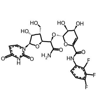 NC(=O)[C@H](O[C@H]1OC(C(=O)Nc2ccc(F)c(F)c2F)=C[C@H](O)[C@@H]1O)[C@H]1O[C@@H](n2ccc(=O)[nH]c2=O)[C@H](O)[C@@H]1CO